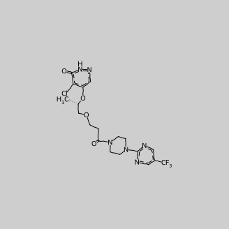 C[C@@H](COCCC(=O)N1CCN(c2ncc(C(F)(F)F)cn2)CC1)Oc1cn[nH]c(=O)c1Cl